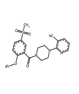 CC(C)Oc1ccc(S(C)(=O)=O)cc1C(=O)N1CCN(c2ncccc2C#N)CC1